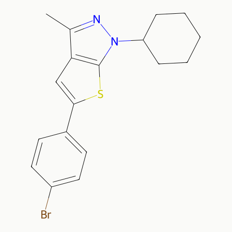 Cc1nn(C2CCCCC2)c2sc(-c3ccc(Br)cc3)cc12